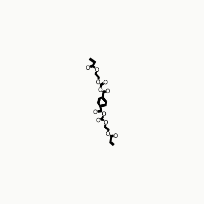 C=CC(=O)OCCOC(=O)OC(=O)c1ccc(C(=O)OC(=O)OCCOC(=O)C=C)cc1